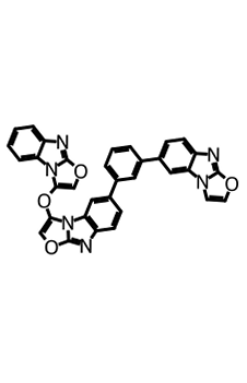 c1cc(-c2ccc3nc4occn4c3c2)cc(-c2ccc3nc4occ(Oc5coc6nc7ccccc7n56)n4c3c2)c1